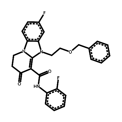 O=C1CCN2C(=C1C(=O)Nc1ccccc1F)N(CCOCc1ccccc1)c1cc(F)ccc12